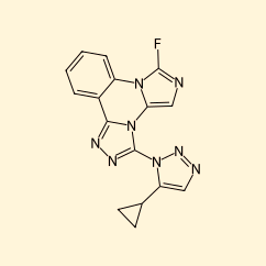 Fc1ncc2n1c1ccccc1c1nnc(-n3nncc3C3CC3)n12